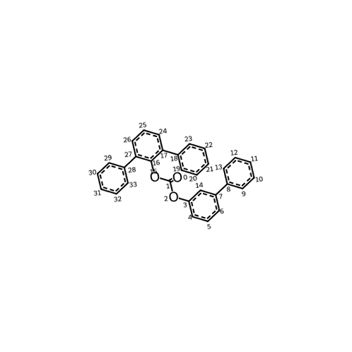 O=C(Oc1cccc(-c2ccccc2)c1)Oc1c(-c2ccccc2)cccc1-c1ccccc1